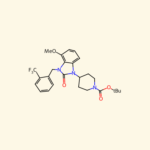 COc1cccc2c1n(Cc1ccccc1C(F)(F)F)c(=O)n2C1CCN(C(=O)OC(C)(C)C)CC1